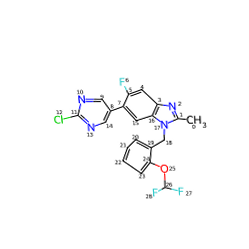 Cc1nc2cc(F)c(-c3cnc(Cl)nc3)cc2n1Cc1ccccc1OC(F)F